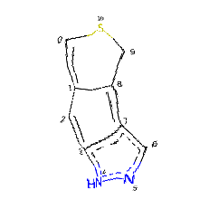 C1=C2C=c3[nH]ncc3=C2CS1